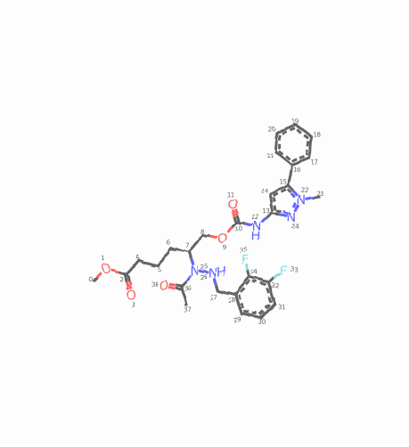 COC(=O)CCC[C@@H](COC(=O)Nc1cc(-c2ccccc2)n(C)n1)N(NCc1cccc(F)c1F)C(C)=O